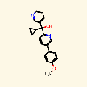 OC(c1cccnc1)(c1ccc(-c2ccc(OC(F)(F)F)cc2)cn1)C1CC1